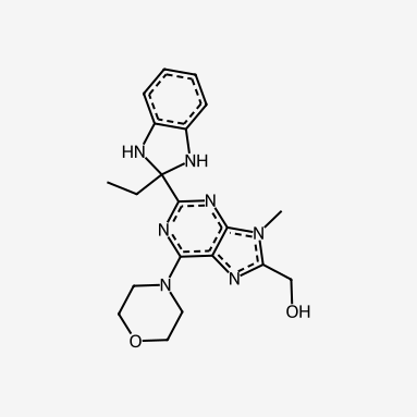 CCC1(c2nc(N3CCOCC3)c3nc(CO)n(C)c3n2)Nc2ccccc2N1